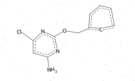 Nc1cc(Cl)nc(OCc2ccccc2)n1